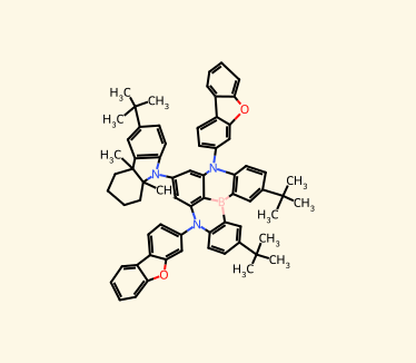 CC(C)(C)c1ccc2c(c1)B1c3cc(C(C)(C)C)ccc3N(c3ccc4c(c3)oc3ccccc34)c3cc(N4c5ccc(C(C)(C)C)cc5C5(C)CCCCC45C)cc(c31)N2c1ccc2c(c1)oc1ccccc12